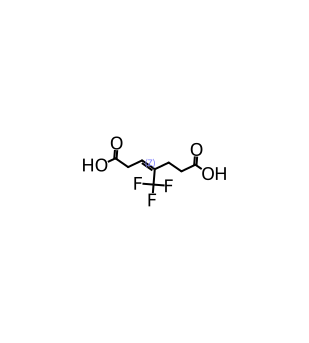 O=C(O)C/C=C(/CCC(=O)O)C(F)(F)F